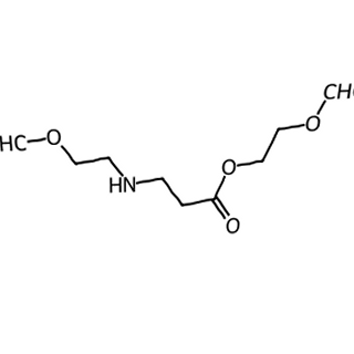 O=COCCNCCC(=O)OCCOC=O